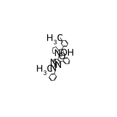 Cc1cccc(C(O)C2CCCCN2C(=O)c2cnc(N(C)Cc3ccccc3)nc2-c2ccccc2)c1